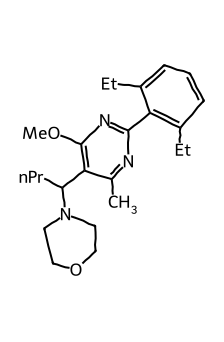 CCCC(c1c(C)nc(-c2c(CC)cccc2CC)nc1OC)N1CCOCC1